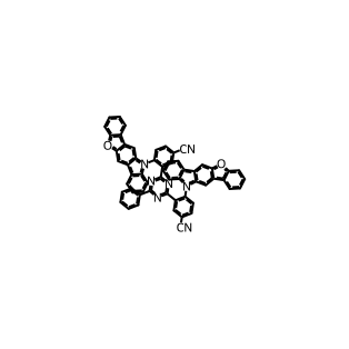 N#Cc1ccc(-n2c3ccccc3c3cc4oc5ccccc5c4cc32)c(-c2nc(-c3ccccc3)nc(-c3cc(C#N)ccc3-n3c4ccccc4c4cc5oc6ccccc6c5cc43)n2)c1